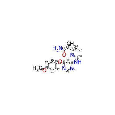 C=C(C(N)=O)c1cccc(Nc2cc(Oc3ccc(OC)cc3)ncn2)n1